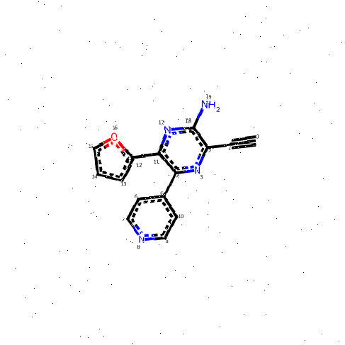 C#Cc1nc(-c2ccncc2)c(-c2ccco2)nc1N